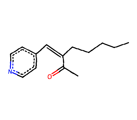 CCCCCC(=Cc1ccncc1)C(C)=O